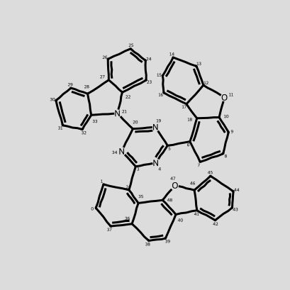 c1cc(-c2nc(-c3cccc4oc5ccccc5c34)nc(-n3c4ccccc4c4ccccc43)n2)c2c(c1)ccc1c3ccccc3oc12